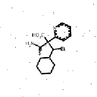 CCC(C1CCCCC1)C(C(=O)O)(C(N)=S)c1ccccn1